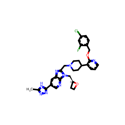 Cc1nnc(-c2cnc3c(c2)nc(CN2CCC(c4cccnc4OCc4ccc(Cl)cc4F)CC2)n3C[C@@H]2CCO2)[nH]1